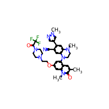 Cc1cc2c(N3CCN(C)c4cc(-c5cnn(C)c5)c(C#N)cc43)cc(OCCN3CCN(C(=O)C(F)(F)F)CC3)cc2n(C)c1=O